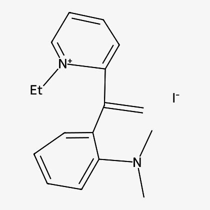 C=C(c1ccccc1N(C)C)c1cccc[n+]1CC.[I-]